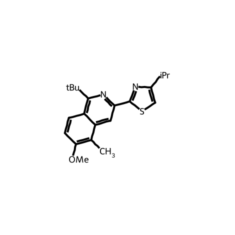 COc1ccc2c(C(C)(C)C)nc(-c3nc(C(C)C)cs3)cc2c1C